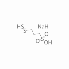 O=S(=O)(O)CCCSS.[NaH]